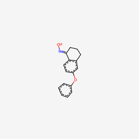 ON=C1CCCc2cc(Oc3ccccc3)ccc21